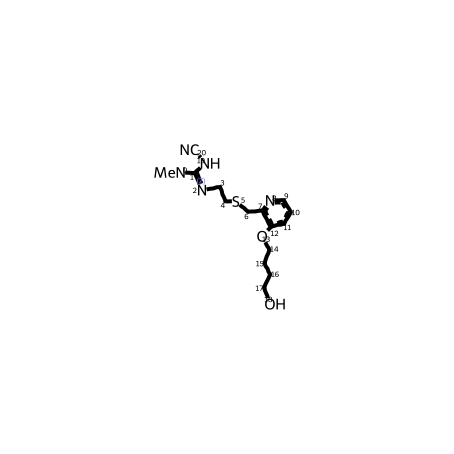 CN/C(=N/CCSCc1ncccc1OCCCCO)NC#N